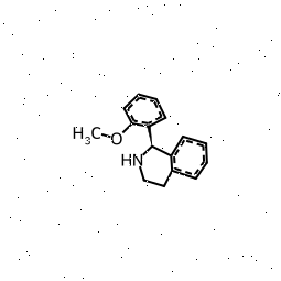 COc1ccccc1[C@@H]1NCCc2ccccc21